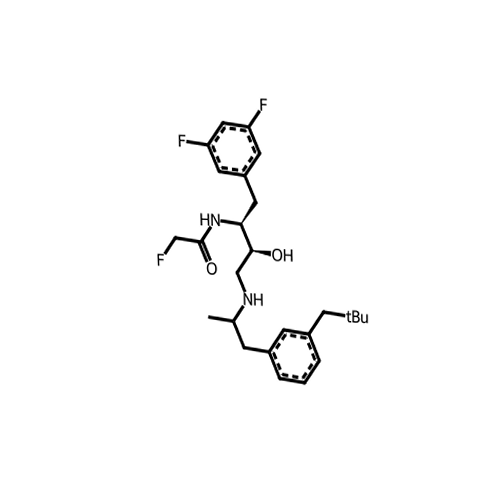 CC(Cc1cccc(CC(C)(C)C)c1)NC[C@H](O)[C@H](Cc1cc(F)cc(F)c1)NC(=O)CF